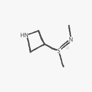 C/N=S(/C)C1CNC1